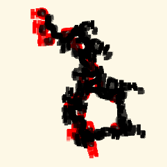 C=C1C[C@@H]2CC[C@]34OC5C6O[C@H]7CC[C@H](CC(=O)O[C@@H]8[C@@H](C)[C@@H]9O[C@@H]%10C[C@@]%11(C[C@@H]%12O[C@]%13(C[C@H](C)[C@@H]%14O[C@H]([C@@H](O)C[C@@H](O)CO)C[C@@H]%14O%13)C[C@H](C)[C@@H]%12O%11)O[C@@H]%10C[C@@H]9O[C@H]8C[C@H]8O[C@@H](CC[C@@H]1O2)C[C@@H](C)C8=C)O[C@@H]7[C@H](O3)C6O[C@@]5(O)[C@H]4O